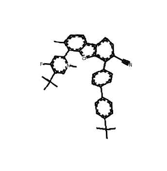 Cc1ccc2c(oc3c(-c4ccc(-c5ccc(C(C)(C)C)cc5)cc4)c(C#N)ccc32)c1-c1cc(F)c(C(C)(C)C)c[n+]1C